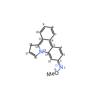 CO/N=c1/ccc2c3ccccc3c3n(c-2c1)C=CC3